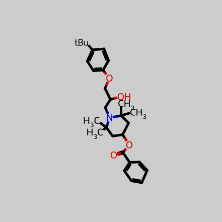 CC(C)(C)c1ccc(OCC(O)CN2C(C)(C)CC(OC(=O)c3ccccc3)CC2(C)C)cc1